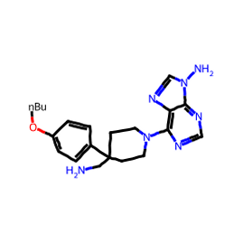 CCCCOc1ccc(C2(CN)CCN(c3ncnc4c3ncn4N)CC2)cc1